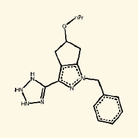 CCCOC1Cc2c(C3=NNNN3)nn(Cc3ccccc3)c2C1